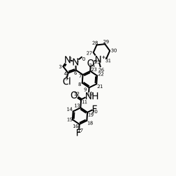 Cn1ncc(Cl)c1-c1cc(NC(=O)c2ccc(F)cc2F)ccc1O[N+]1(C)CCCCC1